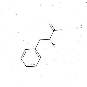 N[C@@H](Cc1ccccc1)C(=O)O.[Se]